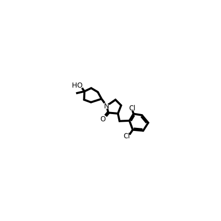 CC1(O)CCC(N2CCC(Cc3c(Cl)cccc3Cl)C2=O)CC1